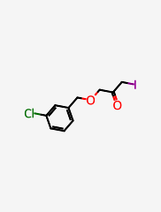 O=C(CI)COCc1cccc(Cl)c1